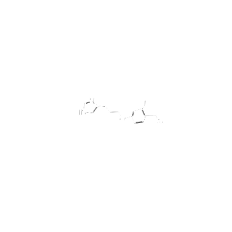 CC(=O)Cc1ccc(OCCCc2c[nH]cn2)cc1F